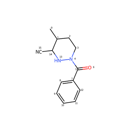 CC1CCN(C(=O)c2ccccc2)NC1C#N